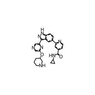 O=C(NC1CC1)c1ccnc(-c2ccc3[nH]nc(-c4cncc(O[C@@H]5CCCNC5)n4)c3c2)c1